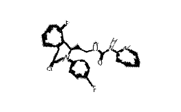 O=C(Nc1ccccn1)OCCC1c2c(F)cccc2C(=O)N1c1ccc(F)cc1